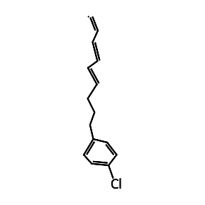 [CH]=CC=CC=CCCCc1ccc(Cl)cc1